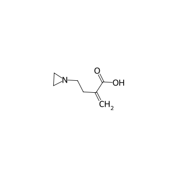 C=C(CCN1CC1)C(=O)O